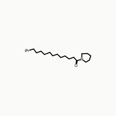 CC(C)CCCCCCCCCCCC(=O)N1CCCCC1